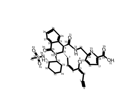 C#C/C=C(Cl)\C=C/C[C@H]1[C@H](C(=O)NCc2cccc(C(=O)O)n2)c2ccccc2C(=O)N1[C@H]1CCCC[C@@H]1NS(C)(=O)=O